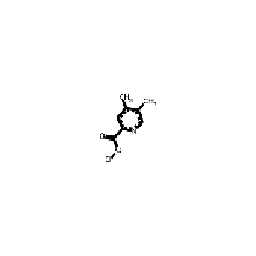 Cc1cnc(C(=O)OCl)cc1C